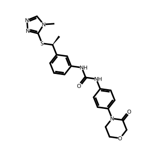 C[C@H](Sc1nncn1C)c1cccc(NC(=O)Nc2ccc(N3CCOCC3=O)cc2)c1